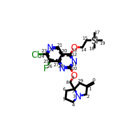 C=C1CN2CCCC2(COc2nc(OCC[Si](C)(C)C)c3cnc(Cl)c(F)c3n2)C1